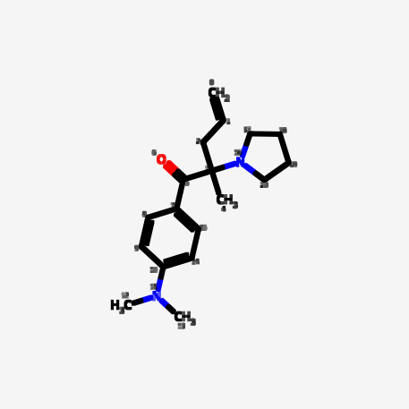 C=CCC(C)(C(=O)c1ccc(N(C)C)cc1)N1CCCC1